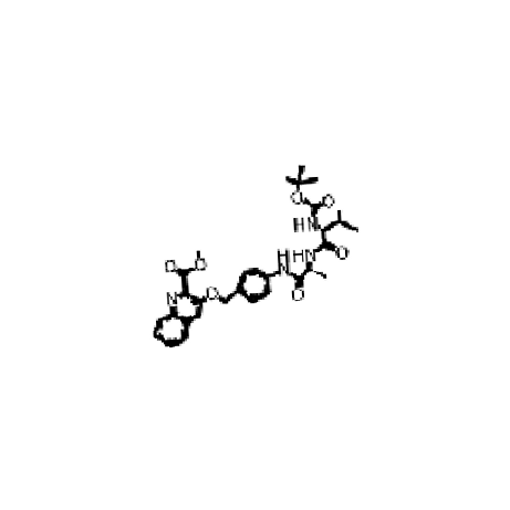 COC(=O)c1nc2ccccc2cc1OCc1ccc(NC(=O)[C@H](C)NC(=O)[C@@H](NC(=O)OC(C)(C)C)C(C)C)cc1